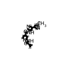 Cn1cc(-c2cncc(NC(=O)c3ccnc(NC(=O)C4CC4)c3)c2)cn1